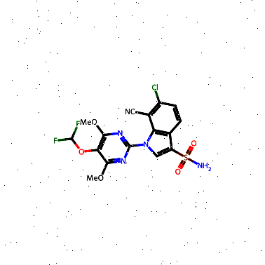 COc1nc(-n2cc(S(N)(=O)=O)c3ccc(Cl)c(C#N)c32)nc(OC)c1OC(F)F